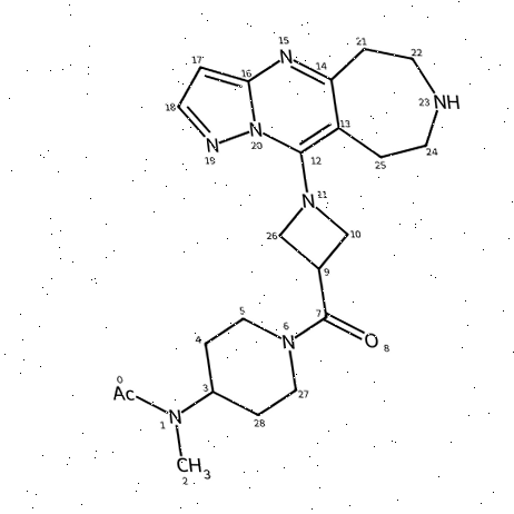 CC(=O)N(C)C1CCN(C(=O)C2CN(c3c4c(nc5ccnn35)CCNCC4)C2)CC1